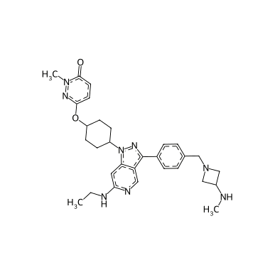 CCNc1cc2c(cn1)c(-c1ccc(CN3CC(NC)C3)cc1)nn2C1CCC(Oc2ccc(=O)n(C)n2)CC1